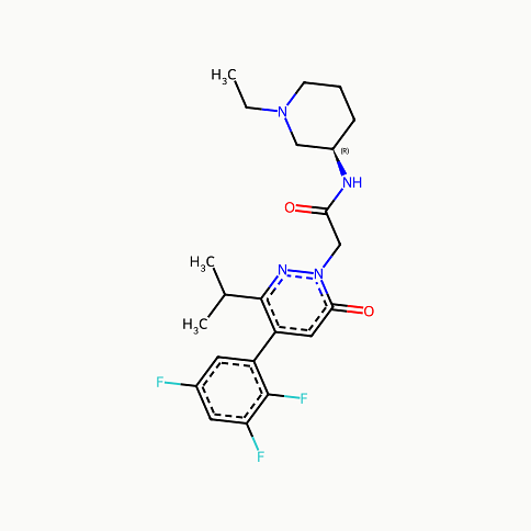 CCN1CCC[C@@H](NC(=O)Cn2nc(C(C)C)c(-c3cc(F)cc(F)c3F)cc2=O)C1